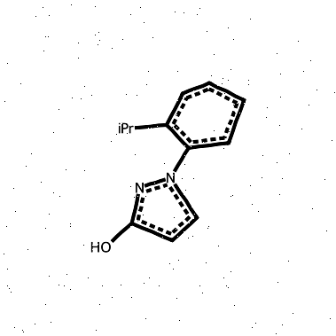 CC(C)c1ccccc1-n1ccc(O)n1